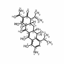 CN(C)c1cc(N)c(O)c2c1C(O)[C@H]1C[C@H]3[C@H](N(C)C)C(=O)C(C(N)=O)=C(O)[C@@]3(O)C(=O)C1=C2O